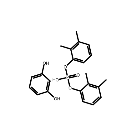 Cc1cccc(OP(=O)(O)Oc2cccc(C)c2C)c1C.Oc1cccc(O)c1